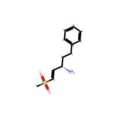 CS(=O)(=O)C=C[C@@H](N)CCc1ccccc1